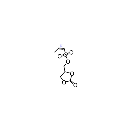 C/C=C\S(=O)(=O)OCC1COC(=O)O1